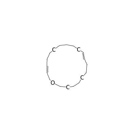 C1=CCCCCCCCOCC=CCCCCCCC1